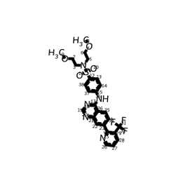 COCCN(CCOC)S(=O)(=O)c1ccc(Nc2ncnc3cc(-c4ncccc4C(F)(F)F)ccc23)cc1